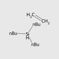 C=C.CCCC[SiH](CCCC)CCCC